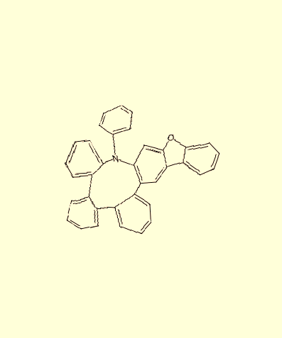 c1ccc(-n2c3ccccc3c3ccccc3c3ccccc3c3cc4c(cc32)oc2ccccc24)cc1